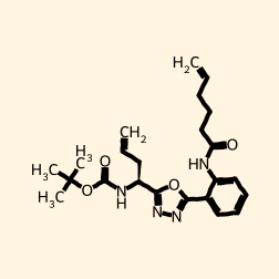 C=CCCCC(=O)Nc1ccccc1-c1nnc([C@H](CC=C)NC(=O)OC(C)(C)C)o1